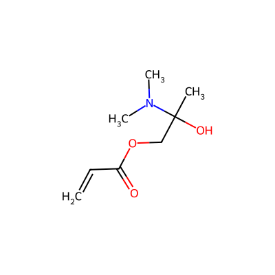 C=CC(=O)OCC(C)(O)N(C)C